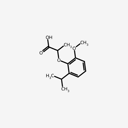 COc1cccc(C(C)C)c1OC(C)C(=O)O